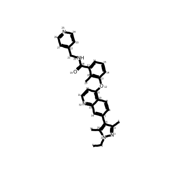 CCn1nc(C)c(-c2ccc3c(Oc4cccc(C(=O)NCc5ccncc5)c4C)ccnc3c2)c1C